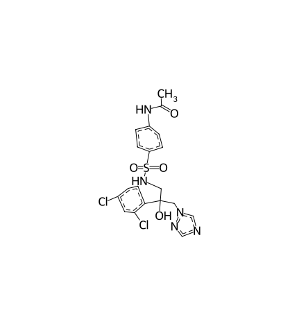 CC(=O)Nc1ccc(S(=O)(=O)NCC(O)(Cn2cncn2)c2ccc(Cl)cc2Cl)cc1